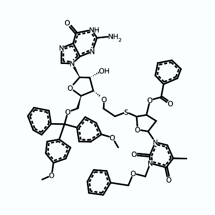 COc1ccc(C(OC[C@H]2O[C@@H](n3cnc4c(=O)[nH]c(N)nc43)[C@H](O)[C@@H]2OCCSC2OC(n3cc(C)c(=O)n(COCc4ccccc4)c3=O)CC2OC(=O)c2ccccc2)(c2ccccc2)c2ccc(OC)cc2)cc1